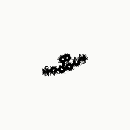 c1ccc2c(-n3c4cc(-c5ccc(-c6nccs6)nc5)ccc4c4ccc(-c5ccc(-c6nccs6)nc5)cc43)cccc2c1